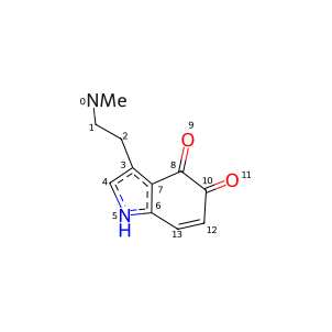 CNCCc1c[nH]c2c1C(=O)C(=O)C=C2